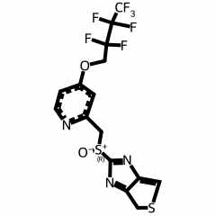 [O-][S@@+](Cc1cc(OCC(F)(F)C(F)(F)C(F)(F)F)ccn1)C1=NC2=CSCC2=N1